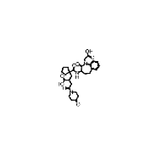 O=C(O)CN1C(=O)C(NC(=O)C2(CC(CC(=O)N3CCC(=O)CC3)C(=O)O)CCCC2)CCc2ccccc21